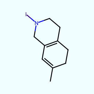 CC1=CC2=C(CC1)CCN(I)C2